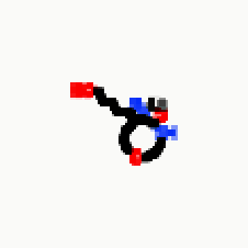 CCn1nc(CCCCO)c2c1C(=O)NCCCOCCC2